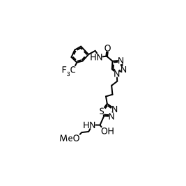 COCCNC(O)c1nnc(CCCCn2cc(C(=O)NCc3cccc(C(F)(F)F)c3)nn2)s1